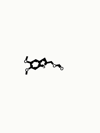 COc1cc2cc(CO[C]=O)sc2cc1OC